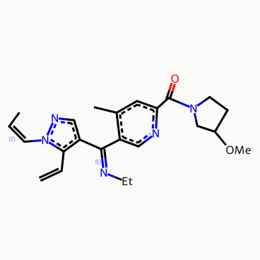 C=Cc1c(/C(=N/CC)c2cnc(C(=O)N3CCC(OC)C3)cc2C)cnn1/C=C\C